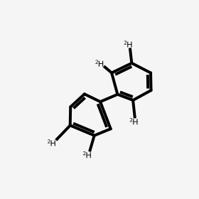 [2H]c1ccc(-c2c([2H])ccc([2H])c2[2H])cc1[2H]